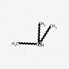 CCCCCCCCCCCCCCO[PH](O)(CCCCCCCCCCCCCC)OCCCCCCCCCCCCCC